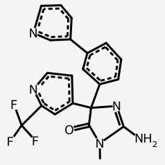 CN1C(=O)C(c2cccc(-c3cccnc3)c2)(c2ccnc(C(F)(F)F)c2)N=C1N